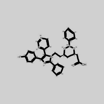 O=C(O)C[C@H]1C[C@@H](CCn2c(-c3ccccc3)nc(-c3ccc(F)cc3)c2-c2ccncn2)OB(c2ccccc2)O1